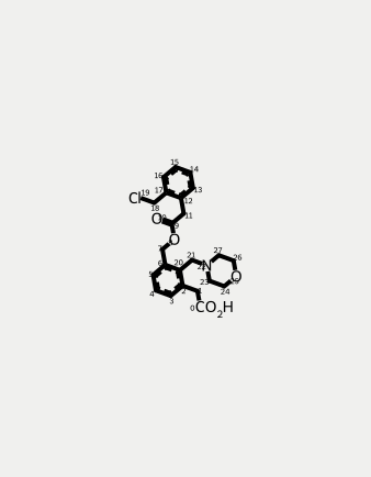 O=C(O)Cc1cccc(COC(=O)Cc2ccccc2CCl)c1CN1CCOCC1